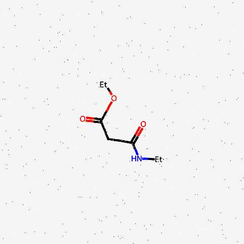 C[CH]NC(=O)CC(=O)OCC